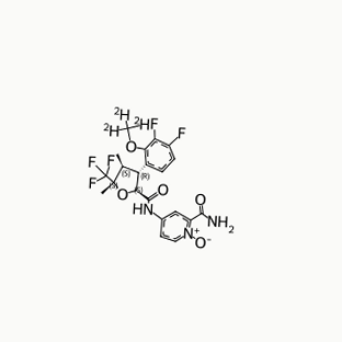 [2H]C([2H])([2H])Oc1c([C@@H]2[C@@H](C(=O)Nc3cc[n+]([O-])c(C(N)=O)c3)O[C@](C)(C(F)(F)F)[C@H]2C)ccc(F)c1F